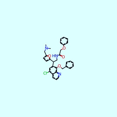 CN(C)Cc1ccc(C(CNC(=O)COc2ccccc2)c2cc(Cl)c3cccnc3c2OCc2ccccc2)o1